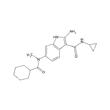 CN(C(=O)C1CCCCC1)c1ccc2c(C(=O)NC3CC3)c(N)[nH]c2c1